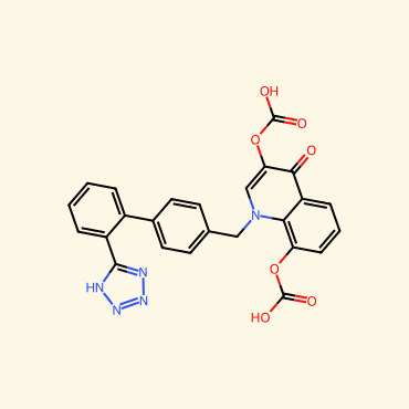 O=C(O)Oc1cn(Cc2ccc(-c3ccccc3-c3nnn[nH]3)cc2)c2c(OC(=O)O)cccc2c1=O